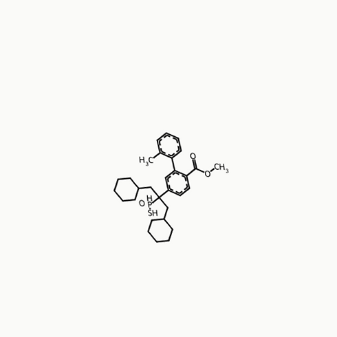 COC(=O)c1ccc(C(CC2CCCCC2)(CC2CCCCC2)[PH](=O)S)cc1-c1ccccc1C